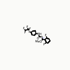 CO/C(=N\C(=O)Nc1ccc(SC(F)(F)C(F)F)cc1)c1c(F)cccc1F